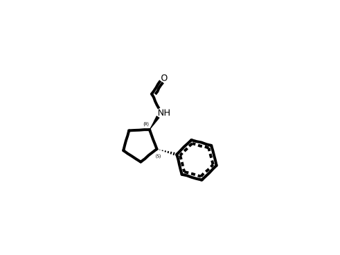 O=CN[C@@H]1CCC[C@H]1c1ccccc1